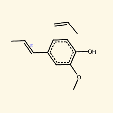 C/C=C/c1ccc(O)c(OC)c1.C=CC